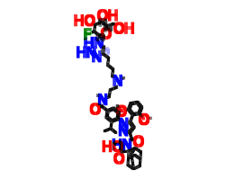 COc1cccc(OC)c1-c1cc(C(=O)NC2(C(=O)O)C3CC4CC(C3)CC2C4)nn1-c1ccc(C(=O)N(C)CCCN(C)CCCC/C(=C/N[C@@H]2O[C@H](CO)[C@@H](O)C(O)C2F)N=N)cc1C(C)C